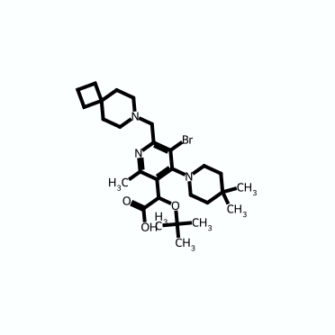 Cc1nc(CN2CCC3(CCC3)CC2)c(Br)c(N2CCC(C)(C)CC2)c1C(OC(C)(C)C)C(=O)O